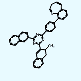 CC1Cc2ccccc2C=C1c1nc(-c2ccc(-c3cccc4c3N=CCC=C4)cc2)nc(-c2ccc3ccccc3c2)n1